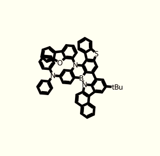 CC(C)(C)c1cc2c3c(c1)c1c4ccccc4ccc1n3B1c3ccc(N(c4ccccc4)c4ccccc4)cc3N(c3cccc4c3oc3ccccc34)c3c1c-2cc1sc2ccccc2c31